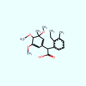 CCc1c(C)cccc1C(C(=O)O)C1=CC(C)(OC)C(OC)C(OC)=C1